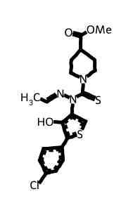 CC=NN(C(=S)N1CCC(C(=O)OC)CC1)c1csc(-c2ccc(Cl)cc2)c1O